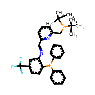 CC(C)(C)P(Cc1cccc(C=Nc2cc(C(F)(F)F)ccc2P(c2ccccc2)c2ccccc2)n1)C(C)(C)C